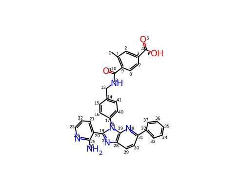 Cc1cc(C(=O)O)ccc1C(=O)NCc1ccc(-n2c(-c3cccnc3N)nc3ccc(-c4ccccc4)nc32)cc1